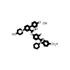 Cl.O=C=C(Oc1ccc(-c2nc3cc(C(=O)O)ccc3n2C2CCCCC2)c(F)c1)c1cc(N2CCC(O)CC2)ccc1-c1ccc(Cl)cc1